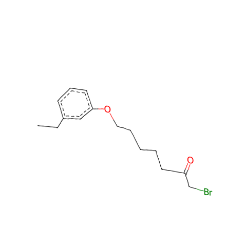 CCc1cccc(OCCCCCC(=O)CBr)c1